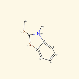 CSC1Sc2ccccc2N1C